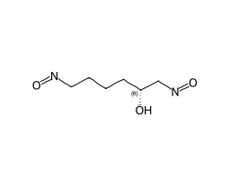 O=NCCCC[C@@H](O)CN=O